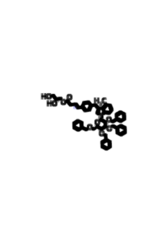 Cc1cccc2c1c(Cc1ccc(/C=C/CC(=O)OC[C@H](O)CO)cc1)cn2[C@@H]1O[C@H](COCc2ccccc2)[C@@H](OCc2ccccc2)[C@H](OCc2ccccc2)[C@H]1OCc1ccccc1